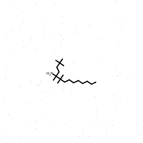 CCCCCCCCC(C)(C)C(C)(N)CCC(C)(C)C